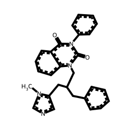 Cn1cncc1CC(Cc1ccccc1)Cn1c(=O)n(-c2ccccc2)c(=O)c2ccccc21